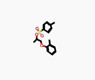 Cc1ccc(S(=O)(=O)OC(C)COc2ccccc2C)cc1